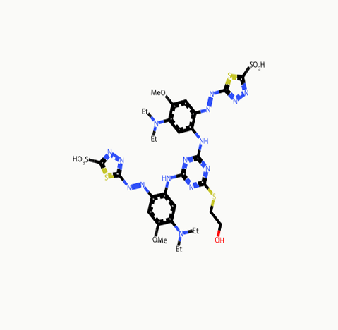 CCN(CC)c1cc(Nc2nc(Nc3cc(N(CC)CC)c(OC)cc3/N=N/c3nnc(S(=O)(=O)O)s3)nc(SCCO)n2)c(/N=N/c2nnc(S(=O)(=O)O)s2)cc1OC